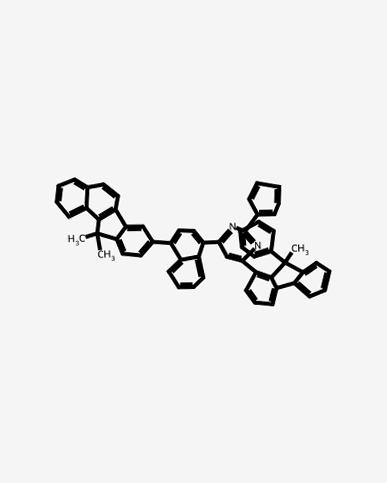 CC1(C)c2ccc(-c3ccc(-c4cc(-c5cccc6c5C(C)(c5ccccc5)c5ccccc5-6)nc(-c5ccccc5)n4)c4ccccc34)cc2-c2ccc3ccccc3c21